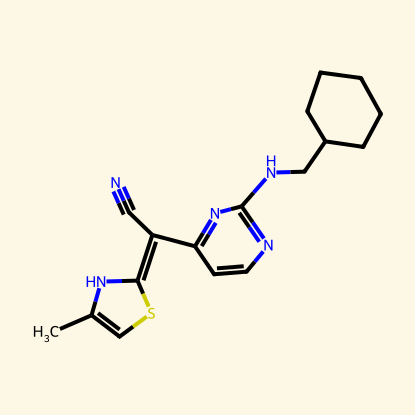 CC1=CS/C(=C(/C#N)c2ccnc(NCC3CCCCC3)n2)N1